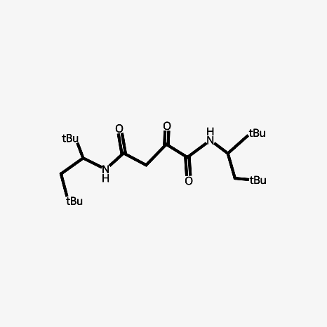 CC(C)(C)CC(NC(=O)CC(=O)C(=O)NC(CC(C)(C)C)C(C)(C)C)C(C)(C)C